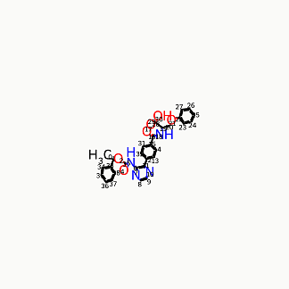 CC(OC(=O)Nc1nccnc1-c1ccc(C(=O)NC(COc2ccccc2)C(=O)O)cc1)c1ccccc1